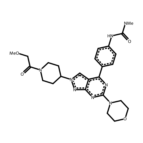 CNC(=O)Nc1ccc(-c2nc(N3CCOCC3)nc3nn(C4CCN(C(=O)COC)CC4)cc23)cc1